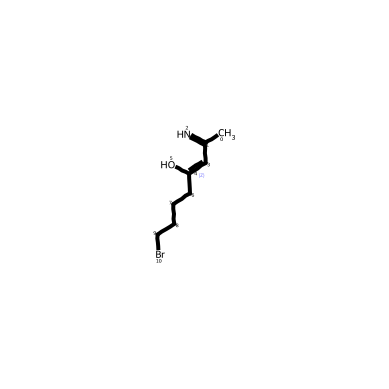 CC(=N)/C=C(\O)CCCCBr